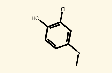 [CH2]Sc1ccc(O)c(Cl)c1